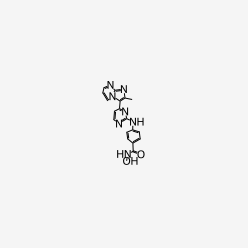 Cc1nc2ncccn2c1-c1ccnc(Nc2ccc(C(=O)NO)cc2)n1